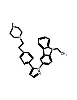 CCn1c2ccccc2c2cc(-n3nccc3-c3ccc(CCN4CCNCC4)cc3)ccc21